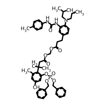 CCCN(CC(C)C)c1ccc(CCC(=O)OCOC(=O)CC(C)(C)c2c(C)cc(C)cc2OP(=O)(OCc2ccccc2)OCc2ccccc2)cc1NC(=O)Nc1ccc(C)cc1